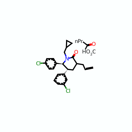 C=CCC1C[C@H](c2cccc(Cl)c2)[C@@H](c2ccc(Cl)cc2)N(CC2CC2)C1=O.CCCC(=O)C(=O)O